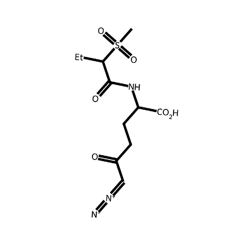 CCC(C(=O)NC(CCC(=O)C=[N+]=[N-])C(=O)O)S(C)(=O)=O